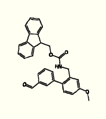 COc1ccc(-c2cccc(C=O)c2)c(CNC(=O)OCC2c3ccccc3-c3ccccc32)c1